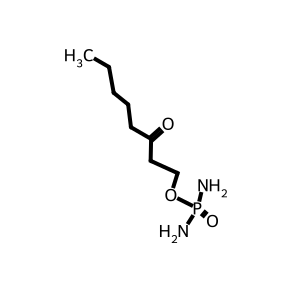 CCCCCC(=O)CCOP(N)(N)=O